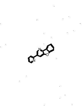 c1ccc(-c2cnc3c(c2)oc2ccccc23)nc1